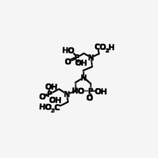 O=C(O)CN(CCN(CCN(CC(=O)O)CP(=O)(O)O)CP(=O)(O)O)CP(=O)(O)O